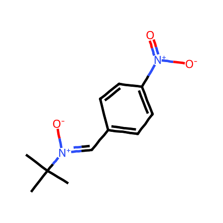 CC(C)(C)[N+]([O-])=Cc1ccc([N+](=O)[O-])cc1